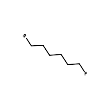 FCCCCCC[P]